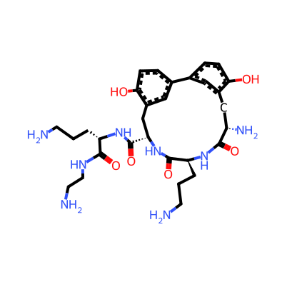 NCCC[C@H](NC(=O)[C@@H]1Cc2cc(ccc2O)-c2ccc(O)c(c2)C[C@H](N)C(=O)N[C@@H](CCCN)C(=O)N1)C(=O)NCCN